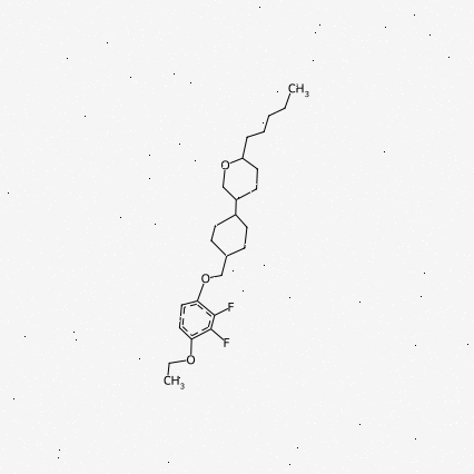 CCCCCC1CCC(C2CCC(COc3ccc(OCC)c(F)c3F)CC2)CO1